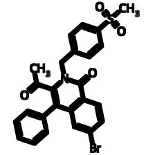 CC(=O)c1c(-c2ccccc2)c2cc(Br)ccc2c(=O)n1Cc1ccc(S(C)(=O)=O)cc1